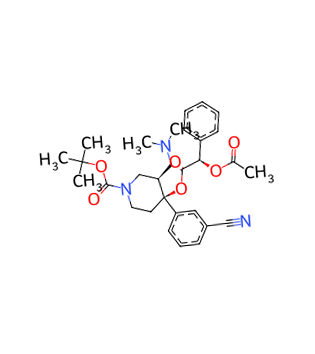 CC(=O)O[C@@H](C(=O)O[C@@]1(c2cccc(C#N)c2)CCN(C(=O)OC(C)(C)C)C[C@H]1CN(C)C)c1ccccc1